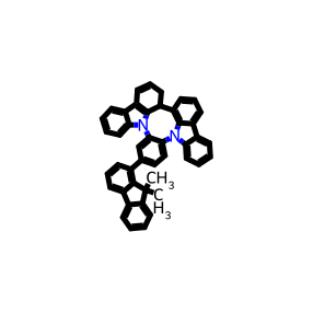 CC1(C)c2ccccc2-c2cccc(-c3ccc4c(c3)-n3c5c(c6ccccc63)C=CCC5c3cccc5c6ccccc6n-4c35)c21